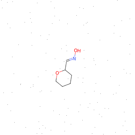 ON=CC1CCCCO1